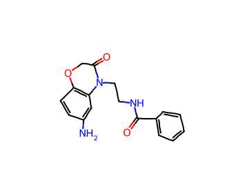 Nc1ccc2c(c1)N(CCNC(=O)c1ccccc1)C(=O)CO2